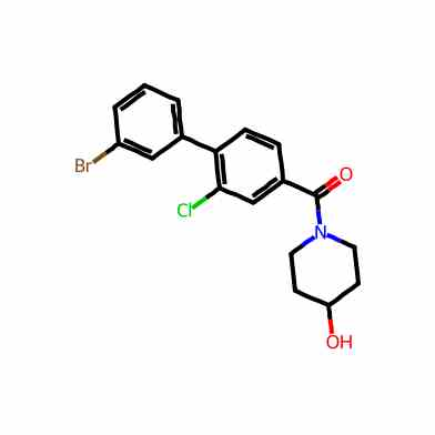 O=C(c1ccc(-c2cccc(Br)c2)c(Cl)c1)N1CCC(O)CC1